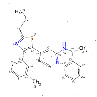 CCCc1nc(-c2cccc(C)c2)c(-c2ccnc(N[C@H](C)c3ccccc3)c2)s1